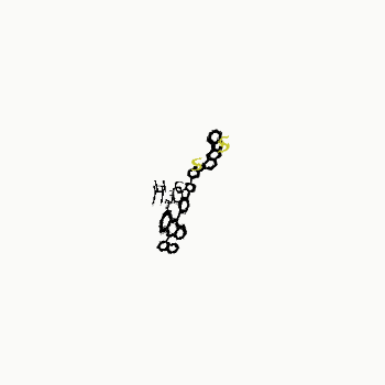 CC1(C)c2cc(-c3ccc4sc5c6cc7c(cc6ccc5c4c3)sc3ccccc37)ccc2-c2ccc(-c3c4ccccc4c(-c4cccc5ccccc45)c4ccccc34)cc21